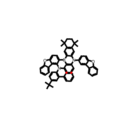 Cc1cc2c3c(c1)N(c1ccc(C(C)(C)C)cc1-c1ccccc1)c1c(ccc4oc5ccccc5c14)B3c1cc3c(cc1N2c1ccc2oc4ccccc4c2c1)C(C)(C)CCC3(C)C